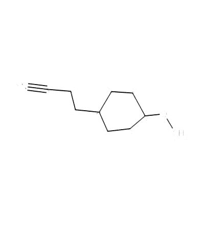 COC1CCC(CCC#N)CC1